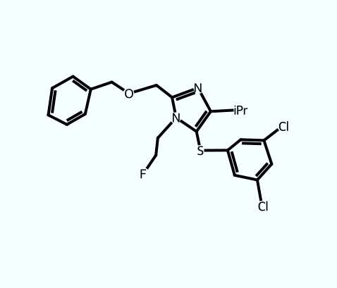 CC(C)c1nc(COCc2ccccc2)n(CCF)c1Sc1cc(Cl)cc(Cl)c1